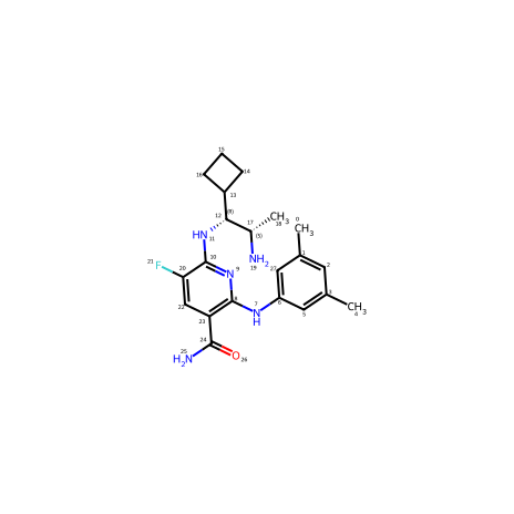 Cc1cc(C)cc(Nc2nc(N[C@H](C3CCC3)[C@H](C)N)c(F)cc2C(N)=O)c1